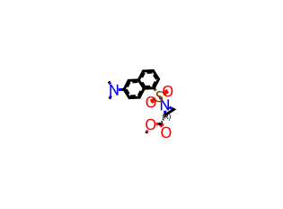 COC(=O)[C@H]1CN1S(=O)(=O)c1cccc2cc(N(C)C)ccc12